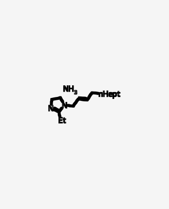 CCCCCCCCC=CCN1CCN=C1CC.N